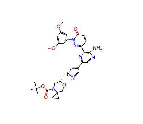 COc1cc(OC)cc(-n2nc(-c3nc(-c4cnn(C[C@H]5CN(C(=O)OC(C)(C)C)C6(CC6)CO5)c4)cnc3N)ccc2=O)c1